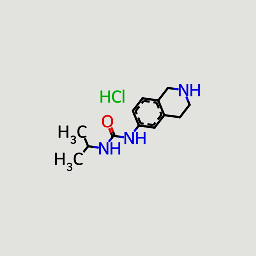 CC(C)NC(=O)Nc1ccc2c(c1)CCNC2.Cl